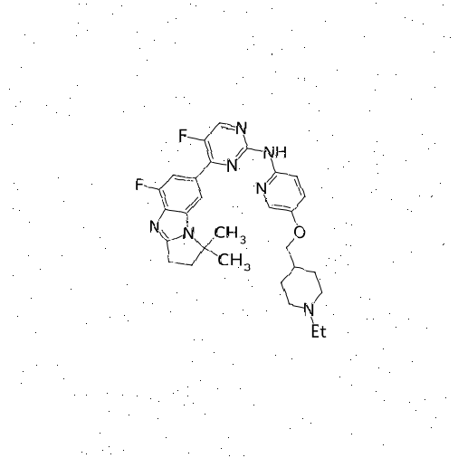 CCN1CCC(COc2ccc(Nc3ncc(F)c(-c4cc(F)c5nc6n(c5c4)C(C)(C)CC6)n3)nc2)CC1